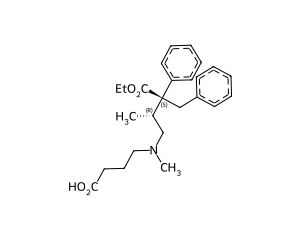 CCOC(=O)[C@](Cc1ccccc1)(c1ccccc1)[C@@H](C)CN(C)CCCC(=O)O